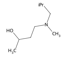 CC(C)CN(C)CCC(C)O